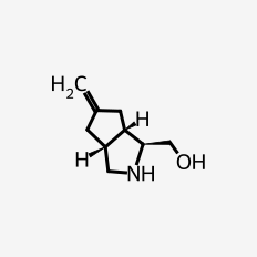 C=C1C[C@H]2CN[C@H](CO)[C@H]2C1